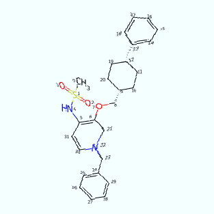 CS(=O)(=O)NC1=C(OC[C@H]2CC[C@@H](c3ccccc3)CC2)CN(Cc2ccccc2)C=C1